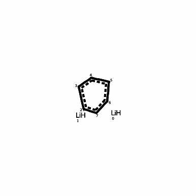 [LiH].[LiH].[c]1ccccc1